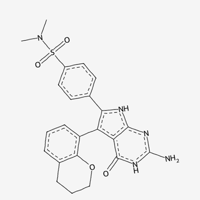 CN(C)S(=O)(=O)c1ccc(-c2[nH]c3nc(N)[nH]c(=O)c3c2-c2cccc3c2OCCC3)cc1